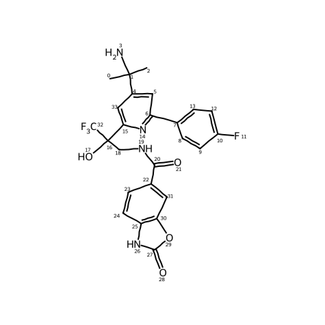 CC(C)(N)c1cc(-c2ccc(F)cc2)nc(C(O)(CNC(=O)c2ccc3[nH]c(=O)oc3c2)C(F)(F)F)c1